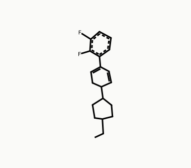 CCC1CCC(C2C=CC(c3cccc(F)c3F)=CC2)CC1